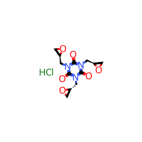 Cl.O=c1n(C[C@H]2CO2)c(=O)n(C[C@@H]2CO2)c(=O)n1C[C@H]1CO1